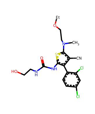 CCOCCN(C)c1sc(NC(=O)NCCO)c(-c2ccc(Cl)cc2Cl)c1C#N